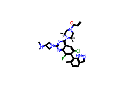 C=CC(=O)N1C[C@@H](C)N(c2nc(N3CC(N(C)C)C3)nc3c(F)c(-c4c(C)ccc5cn[nH]c45)c(Cl)cc23)[C@@H](C)C1